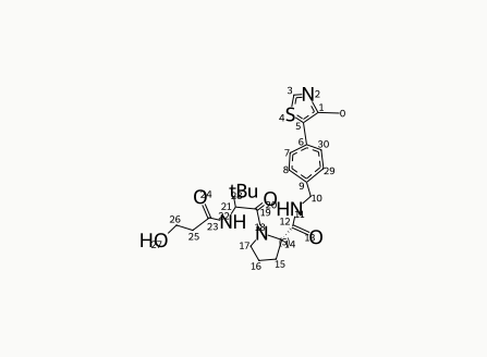 Cc1ncsc1-c1ccc(CNC(=O)[C@@H]2CCCN2C(=O)C(NC(=O)CCO)C(C)(C)C)cc1